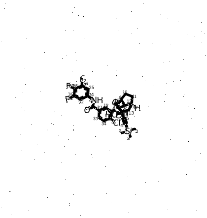 C[Si](C)(C)C#C[C@@]1(O)CC2CC[C@@H](C1)[C@H]2S(=O)(=O)c1cc(C(=O)Nc2cc(F)c(F)c(F)c2)ccc1Cl